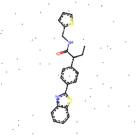 CCC(C(=O)NCc1cccs1)c1ccc(-c2nc3ccccc3s2)cc1